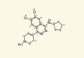 CC(=O)N1CC=C(c2nnc(NC3CCCC3)c3cc(Cl)c(Cl)cc23)CC1